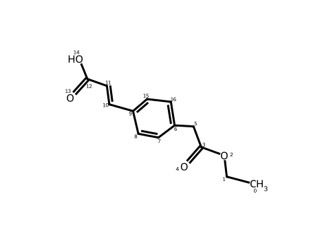 CCOC(=O)Cc1ccc(C=CC(=O)O)cc1